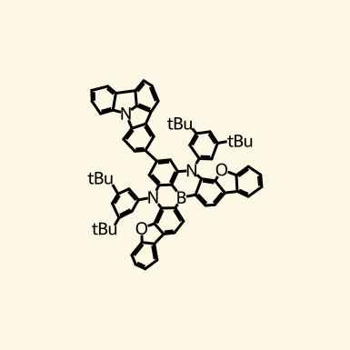 CC(C)(C)c1cc(N2c3cc(-c4ccc5c(c4)c4cccc6c7ccccc7n5c64)cc4c3B(c3ccc5c(oc6ccccc65)c32)c2ccc3c(oc5ccccc53)c2N4c2cc(C(C)(C)C)cc(C(C)(C)C)c2)cc(C(C)(C)C)c1